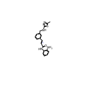 Cc1nnc(NCc2cccc(/C=C/C(=O)Nc3ccccc3N)c2)s1